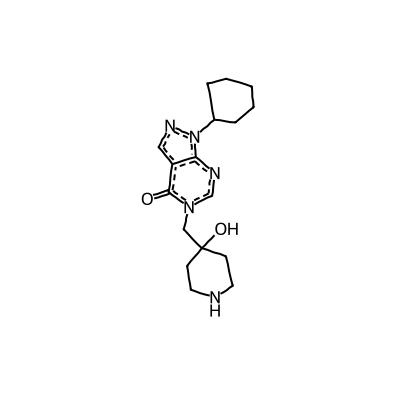 O=c1c2cnn(C3CCCCC3)c2ncn1CC1(O)CCNCC1